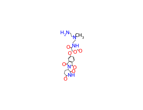 CN(CCN)CCNC(=O)C(OC=O)Oc1ccc2c(c1)C(=O)N(C1CCC(=O)NC1=O)C2=O